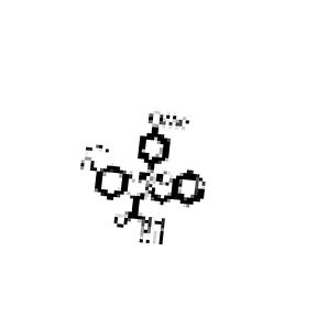 CCCO[C@H]1CC[C@H](C(C(=O)NO)N(Cc2ccncc2)S(=O)(=O)c2ccc(OC)cc2)CC1